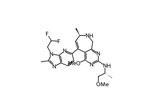 COC[C@@H](C)Nc1nc2c(c(OC)n1)C(c1ccc3nc(C)n(CC(F)F)c3n1)=C[C@@H](C)NC2